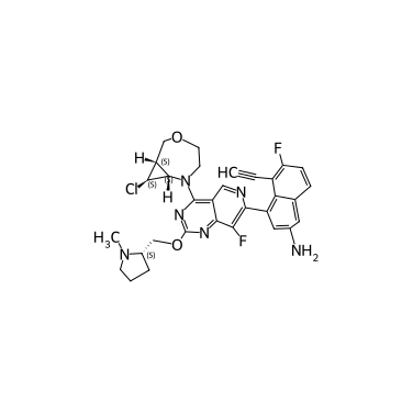 C#Cc1c(F)ccc2cc(N)cc(-c3ncc4c(N5CCOC[C@H]6[C@H](Cl)[C@H]65)nc(OC[C@@H]5CCCN5C)nc4c3F)c12